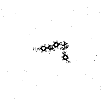 COc1ccc(COC(=O)N(C)C2(COc3ccc4c(c3)sc3cc(-c5ccc(N)cc5)cn34)CC2)cc1